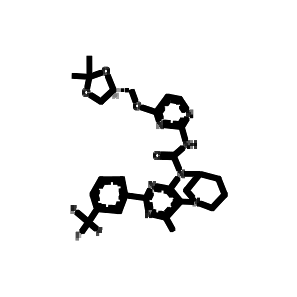 Cc1nc(-c2cccc(C(F)(F)F)c2)nc2c1N1CCCC(C1)N2C(=O)Nc1nccc(OC[C@@H]2COC(C)(C)O2)n1